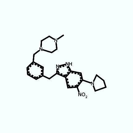 CN1CCN(Cc2cccc(Cc3n[nH]c4cc(N5CCCC5)c([N+](=O)[O-])cc34)c2)CC1